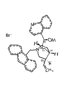 C=C[C@H]1C[N+]2(Cc3c4ccccc4cc4ccccc34)CC[C@H]1C[C@H]2[C@H](O)c1ccnc2ccccc12.[Br-]